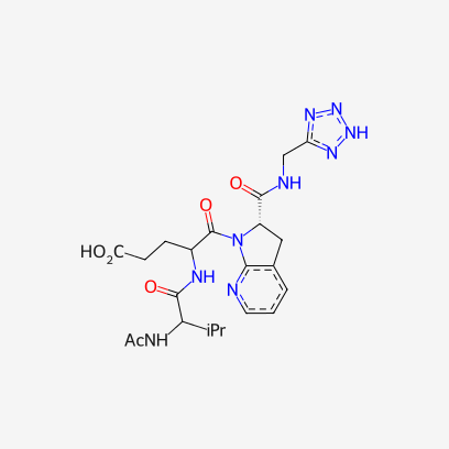 CC(=O)NC(C(=O)NC(CCC(=O)O)C(=O)N1c2ncccc2C[C@H]1C(=O)NCc1nn[nH]n1)C(C)C